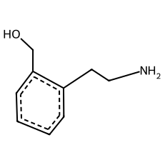 NCCc1ccccc1CO